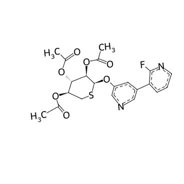 CC(=O)O[C@@H]1[C@@H](OC(C)=O)[C@@H](Oc2cncc(-c3cccnc3F)c2)SC[C@H]1OC(C)=O